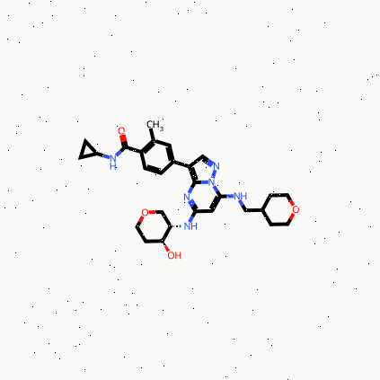 Cc1cc(-c2cnn3c(NCC4CCOCC4)cc(N[C@H]4COCC[C@@H]4O)nc23)ccc1C(=O)NC1CC1